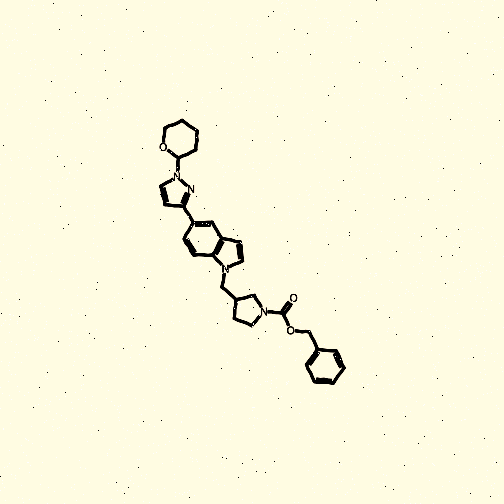 O=C(OCc1ccccc1)N1CCC(Cn2ccc3cc(-c4ccn(C5CCCCO5)n4)ccc32)C1